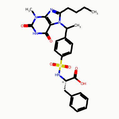 CCCCc1nc2c(c(=O)[nH]c(=O)n2C)n1C(C)c1ccc(S(=O)(=O)N[C@@H](Cc2ccccc2)C(=O)O)cc1